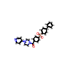 O=C(c1ccc(S(=O)(=O)c2ccc(-c3ccccc3)cc2)cc1)N1CCN(c2ccncc2)CC1